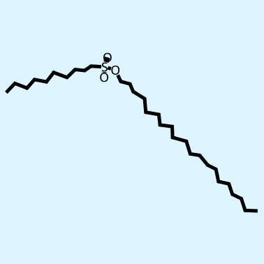 CCCCCCCCCCCCCCCCCCCCOS(=O)(=O)CCCCCCCCCC